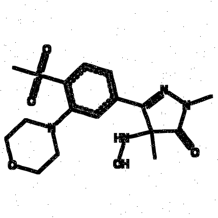 CN1N=C(c2ccc(S(C)(=O)=O)c(N3CCOCC3)c2)C(C)(NO)C1=O